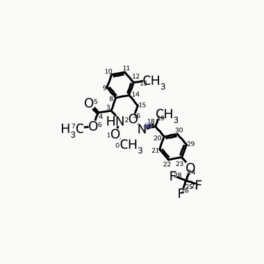 CONC(C(=O)OC)c1cccc(C)c1CO/N=C(\C)c1ccc(OC(F)(F)F)cc1